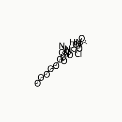 COCCOCCOCCOCCOCCOC(=O)OCn1c(=O)c(C#N)nn(-c2cc(Cl)c(Oc3cc(C(C)C)c(=O)[nH]n3)c(Cl)c2)c1=O